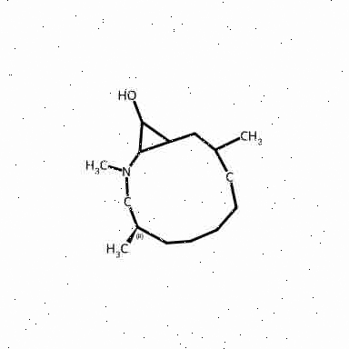 CC1CCCCC[C@@H](C)CN(C)C2C(O)C2C1